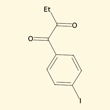 CCC(=O)C(=O)c1ccc(I)cc1